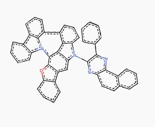 c1ccc(-c2nc3c(ccc4ccccc43)nc2-n2c3cccc4c5cccc6c7ccccc7n(c56)c5c6oc7ccccc7c6cc2c5c43)cc1